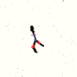 CCCCCCCCOCOCCCCN(CCCCCCNC(=O)CCCC1CCC2C3CCC4CCCCC4(C)C3CCC12C)CCCCOCOCCCCCCCC